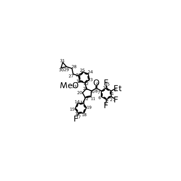 CCc1c(F)c(F)cc(C(=O)C2C=C(c3ccc(F)cc3)CC2c2cccc(CCC3CC3)c2OC)c1F